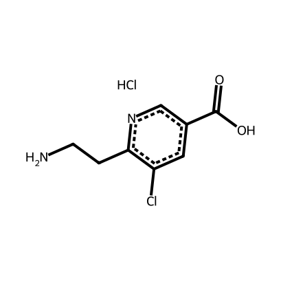 Cl.NCCc1ncc(C(=O)O)cc1Cl